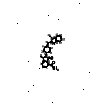 CC1c2cccc(C(N)=O)c2C(=O)N1C1CCN(Cc2nc3ccccc3n2C)CC1